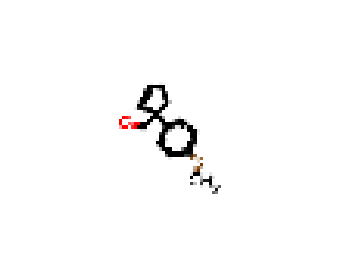 CSc1ccc(C2(C=O)C=CCC2)cc1